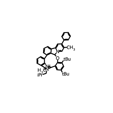 Cc1c[n+]2c(cc1-c1ccccc1)-c1cccc3c1C2Oc1c(cc(C(C)(C)C)cc1C(C)(C)C)-c1n(CC(C)C)c2cccc-3c2[n+]1C